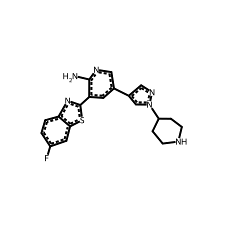 Nc1ncc(-c2cnn(C3CCNCC3)c2)cc1-c1nc2ccc(F)cc2s1